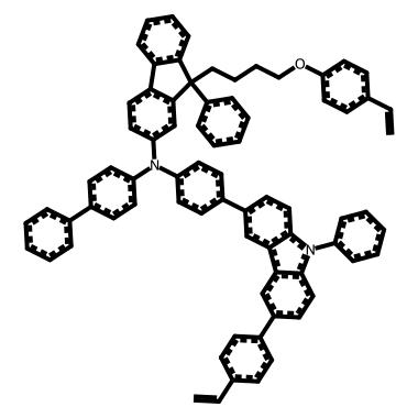 C=Cc1ccc(OCCCCC2(c3ccccc3)c3ccccc3-c3ccc(N(c4ccc(-c5ccccc5)cc4)c4ccc(-c5ccc6c(c5)c5cc(-c7ccc(C=C)cc7)ccc5n6-c5ccccc5)cc4)cc32)cc1